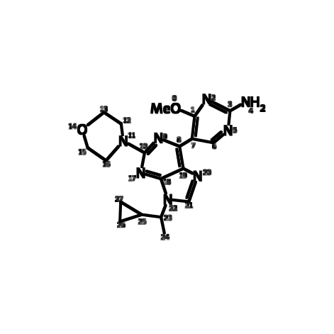 COc1nc(N)ncc1-c1nc(N2CCOCC2)nc2c1ncn2C(C)C1CC1